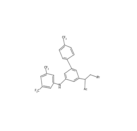 CC(=O)C(CC(C)C)c1cc(Nc2cc(C(F)(F)F)cc(C(F)(F)F)c2)cc(-c2ccc(C(F)(F)F)cc2)c1